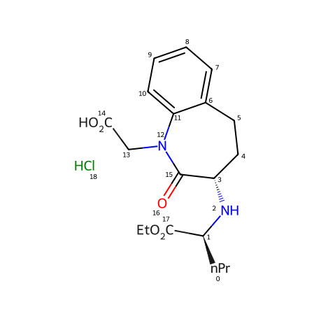 CCC[C@H](N[C@H]1CCc2ccccc2N(CC(=O)O)C1=O)C(=O)OCC.Cl